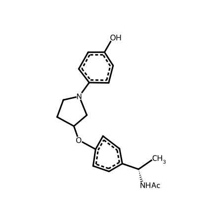 CC(=O)N[C@@H](C)c1ccc(OC2CCN(c3ccc(O)cc3)C2)cc1